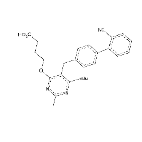 CCCCc1nc(C)nc(OCCCC(=O)O)c1Cc1ccc(-c2ccccc2C#N)cc1